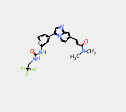 CN(C)C(=O)C=Cc1ccn2c(-c3cccc(NC(=O)NCC(F)(F)F)c3)cnc2c1